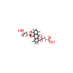 O=C(O)CCC(=O)Oc1c2ccccc2c(OC(=O)CCC(=O)O)c2ccccc12